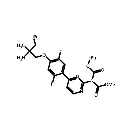 COC(=O)N(C(=O)OC(C)(C)C)c1nccc(-c2cc(F)c(OCC(C)(N)CC(C)C)cc2F)n1